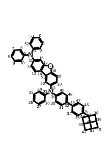 c1ccc(N(c2ccccc2)c2ccc3c(c2)oc2ccc(N(c4ccccc4)c4ccc(-c5ccc(C67CC8CC9CC(C6)C987)cc5)cc4)cc23)cc1